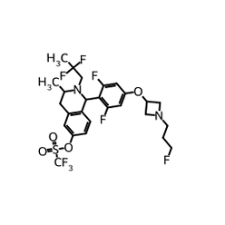 CC1Cc2cc(OS(=O)(=O)C(F)(F)F)ccc2C(c2c(F)cc(OC3CN(CCCF)C3)cc2F)N1CC(C)(F)F